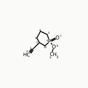 C#CC1CCCP(=O)(OC)C1